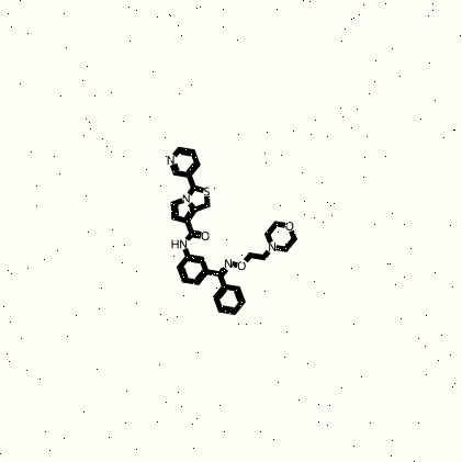 O=C(Nc1cccc(C(=NOCCN2CCOCC2)c2ccccc2)c1)c1ccn2c1CSC2c1cccnc1